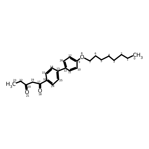 CCCCCCCCOc1ccc(-c2ccc(C(=O)CC(=O)CC)cc2)cc1